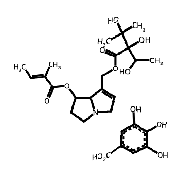 C/C=C(\C)C(=O)OC1CCN2CC=C(COC(=O)C(O)(C(C)O)C(C)(C)O)C12.O=C(O)c1cc(O)c(O)c(O)c1